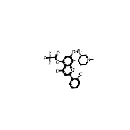 CN1CC[C@H](c2c(O)cc(OC(=O)C(F)(F)F)c3c(=O)cc(-c4ccccc4Cl)oc23)[C@H](O)C1